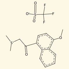 COc1ccc(C(=O)C[S+](C)C)c2ccccc12.O=S(=O)([O-])C(F)(F)F